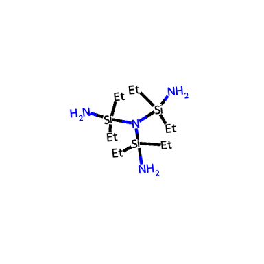 CC[Si](N)(CC)N([Si](N)(CC)CC)[Si](N)(CC)CC